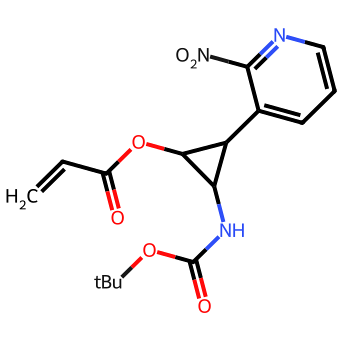 C=CC(=O)OC1C(NC(=O)OC(C)(C)C)C1c1cccnc1[N+](=O)[O-]